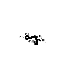 Bn1cccc1/C(CCN)=C1N=C(/C=C/c2cc(C)c(C)cc2C)C=C\1C